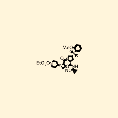 CCOC(=O)N1CCC(N2CCC2C(=O)N2C[C@H](S(=O)(=O)c3ccccc3OC)C[C@H]2C(=O)NC2(C#N)CC2)CC1